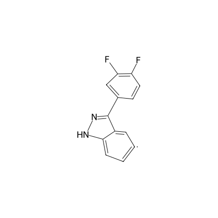 Fc1ccc(-c2n[nH]c3cc[c]cc23)cc1F